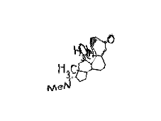 CNC[C@H]1CCC2C3CCC4=CC(=O)C=CC4(C)C3C(O)CC21C